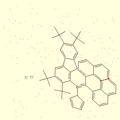 CC(C)(C)c1cc2c(cc1C(C)(C)C)-c1cc(C(C)(C)C)c(C(C)(C)C)[c]([Zr+2](=[C](c3cccc4ccccc34)c3cccc4ccccc34)[CH]3C=CC=C3)c1C2.[Cl-].[Cl-]